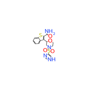 NC(=O)c1sc2ccccc2c1C1CN(S(=O)(=O)c2c[nH]cn2)CCO1